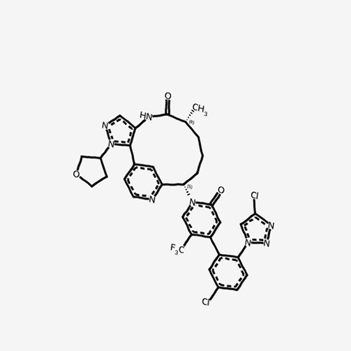 C[C@@H]1CCC[C@H](n2cc(C(F)(F)F)c(-c3cc(Cl)ccc3-n3cc(Cl)nn3)cc2=O)c2cc(ccn2)-c2c(cnn2C2CCOC2)NC1=O